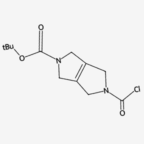 CC(C)(C)OC(=O)N1CC2=C(CN(C(=O)Cl)C2)C1